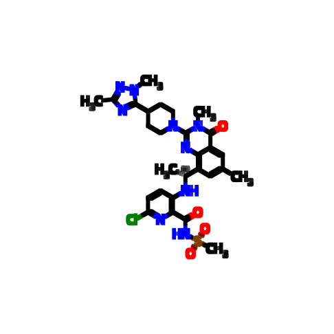 Cc1cc([C@@H](C)Nc2ccc(Cl)nc2C(=O)NS(C)(=O)=O)c2nc(N3CCC(c4nc(C)nn4C)CC3)n(C)c(=O)c2c1